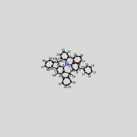 Cc1c2c(c(N(c3ccc(-c4ccccc4)cc3)c3ccccc3-c3ccccc3)c3c1-c1ccccc1C3(C)C)C(C)(C)c1ccccc1-2